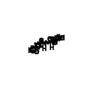 O=C(CCNC(=O)c1ccc(-n2ccccc2=O)cc1)NS(=O)(=O)C1=CC=C(Cl)C1